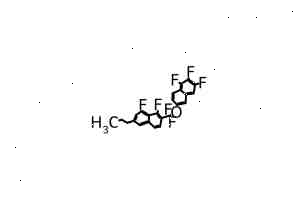 CCCc1cc(F)c2c(F)c(C(F)(F)Oc3ccc4c(F)c(F)c(F)cc4c3)ccc2c1